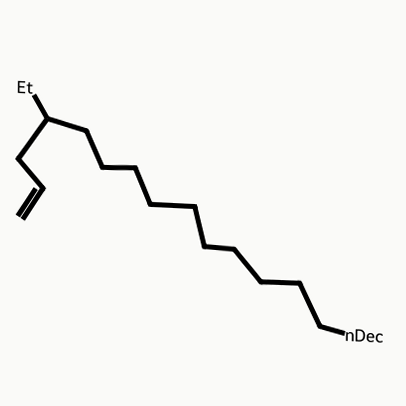 C=CCC(CC)CCCCCCCCCCCCCCCCCCCC